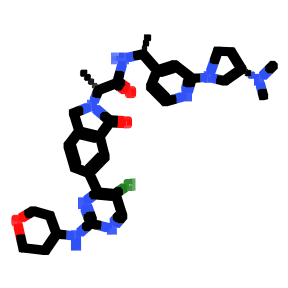 C[C@H](C(=O)N[C@H](C)c1ccnc(N2CC[C@H](N(C)C)C2)c1)N1Cc2ccc(-c3nc(NC4CCOCC4)ncc3Cl)cc2C1=O